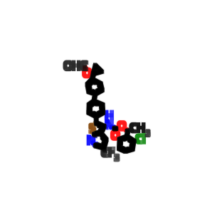 C[C@@H](OC(=O)Nc1c(-c2ccc(-c3ccc(C4(OC=O)CC4)cc3)cc2)sc2ncc(C(F)(F)F)cc12)c1ccccc1Cl